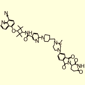 C[C@H]1CN(c2ccc3c(c2)C(=O)N(C2CCC(=O)NC2=O)C3=O)CCN1CC1CCN(c2ccc(C(=O)NC3C(C)(C)C(Oc4ccc(C#N)c5ncccc45)C3(C)C)cn2)CC1